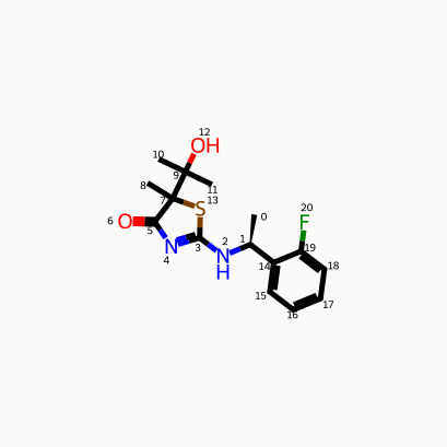 C[C@H](NC1=NC(=O)C(C)(C(C)(C)O)S1)c1ccccc1F